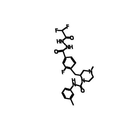 Cc1cccc(NC(=O)N2CCN(C)CC2Cc2ccc(C(=O)NNC(=O)C(F)F)cc2F)c1